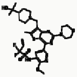 C=CC(F)(F)S(=O)(=O)Nc1cc(-c2nc(N3CCOCC3)nc3c(CN4CCC(C(C)(C)O)CC4)c(C)sc23)cnc1OC